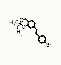 CC1(C)OCc2ccc(C=Cc3ccc(Br)cc3)cc2O1